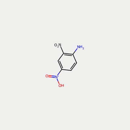 Nc1ccc([N+](=O)O)cc1[N+](=O)[O-]